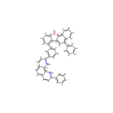 c1ccc(-c2ccc3ccc4ccc(-c5cccc(-c6cccc7oc8c9ccccc9c(-c9ccccc9)cc8c67)c5)nc4c3n2)cc1